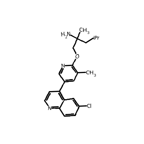 Cc1cc(-c2ccnc3ccc(Cl)cc23)cnc1OCC(C)(N)CC(C)C